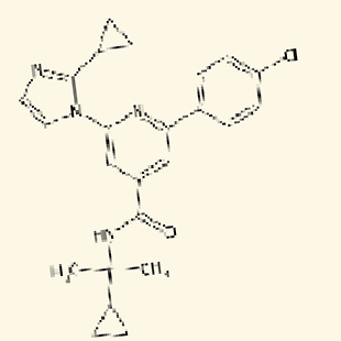 CC(C)(NC(=O)c1cc(-c2ccc(Cl)cc2)nc(-n2ccnc2C2CC2)c1)C1CC1